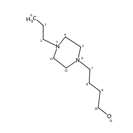 CCCN1CCN(CCCC[O])CC1